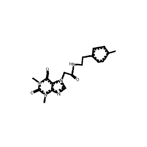 Cc1ccc(CCNC(=O)Cn2cnc3c2c(=O)n(C)c(=O)n3C)cc1